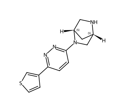 c1cc(-c2ccc(N3C[C@@H]4C[C@H]3CN4)nn2)cs1